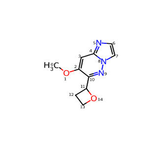 COc1cc2nccn2nc1C1CCO1